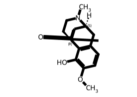 COc1ccc2c(c1O)[C@@]13CCN(C)[C@@H](C2)C1CCC(=O)C3